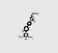 CC(=O)NCC1CN(c2ccc(-c3ccc(N4C[C@@H](C)N[C@@H](C)C4)c(=O)cc3)cc2)C(=O)O1